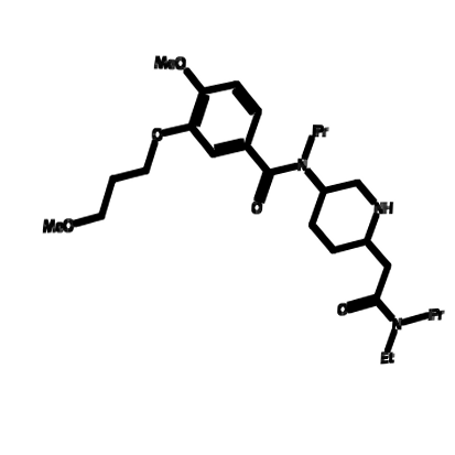 CCN(C(=O)CC1CCC(N(C(=O)c2ccc(OC)c(OCCCOC)c2)C(C)C)CN1)C(C)C